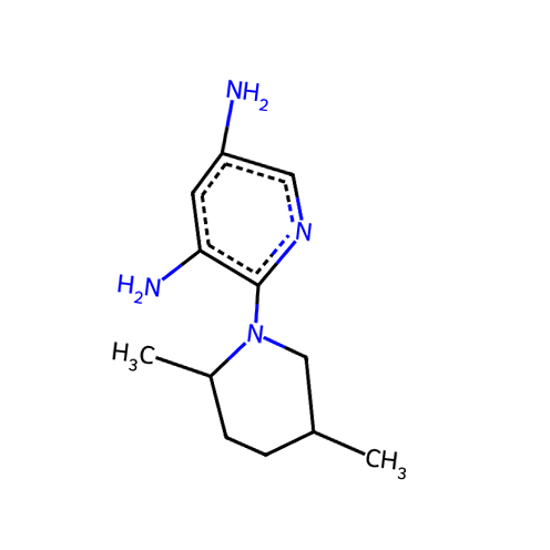 CC1CCC(C)N(c2ncc(N)cc2N)C1